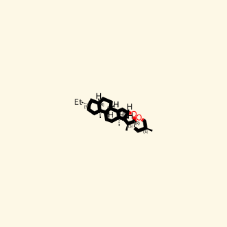 CC[C@H]1CC[C@@]2(C)[C@H](CC[C@@H]3[C@@H]2CC[C@]2(C)[C@@H]4[C@H](C[C@@H]32)O[C@]2(CC[C@H](C)CO2)[C@H]4C)C1